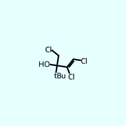 CC(C)(C)C(O)(CCl)C(Cl)=CCl